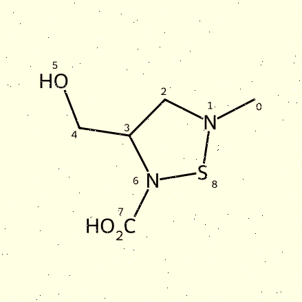 CN1CC(CO)N(C(=O)O)S1